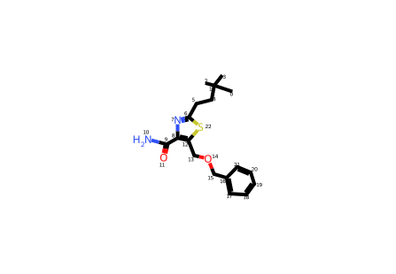 CC(C)(C)CCc1nc(C(N)=O)c(COCc2ccccc2)s1